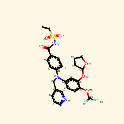 CCS(=O)(=O)NC(=O)c1ccc(N(Cc2cccnc2)c2ccc(OC(F)F)c(OC3CCCO3)c2)cc1